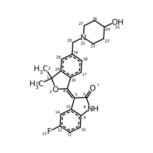 CC1(C)OC(=C2C(=O)Nc3ccc(F)cc32)c2ccc(CN3CCC(O)CC3)cc21